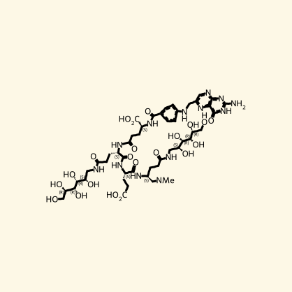 CNC[C@H](CCC(=O)NC[C@H](O)[C@@H](O)[C@H](O)[C@H](O)CO)NC(=O)[C@H](CCC(=O)O)NC(=O)[C@H](CCC(=O)NC[C@H](O)[C@@H](O)[C@H](O)[C@H](O)CO)NC(=O)CC[C@H](NC(=O)c1ccc(NCc2cnc3nc(N)[nH]c(=O)c3n2)cc1)C(=O)O